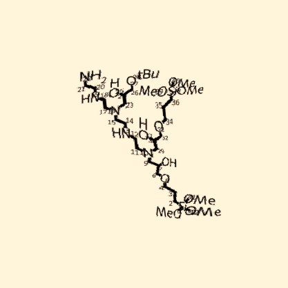 CO[Si](CCCOCC(O)CN(CCNCCN(CCNCCN)CC(O)COC(C)(C)C)CC(O)COCCC[Si](OC)(OC)OC)(OC)OC